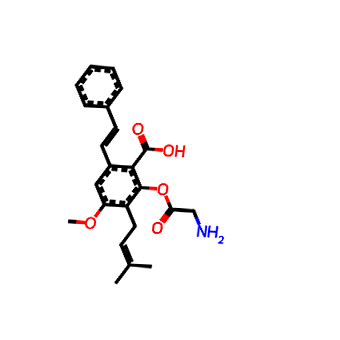 COc1cc(/C=C/c2ccccc2)c(C(=O)O)c(OC(=O)CN)c1CC=C(C)C